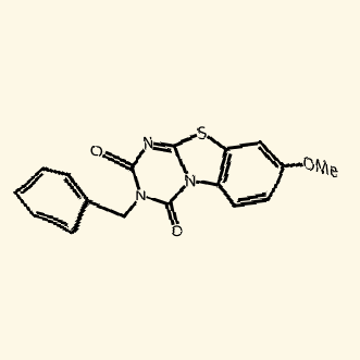 COc1ccc2c(c1)sc1nc(=O)n(Cc3ccccc3)c(=O)n12